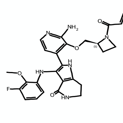 C=CC(=O)N1CC[C@H]1COc1c(-c2[nH]c3c(c2Nc2cccc(F)c2OC)C(=O)NCC3)ccnc1N